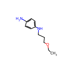 CCOCCCNc1ccc(N)cc1